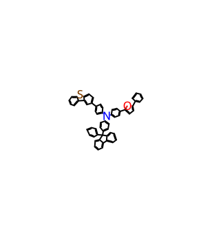 c1ccc(-c2ccc(-c3ccc(N(c4ccc(-c5ccc6sc7ccccc7c6c5)cc4)c4ccc(C5(c6ccccc6)c6ccccc6-c6ccccc65)cc4)cc3)o2)cc1